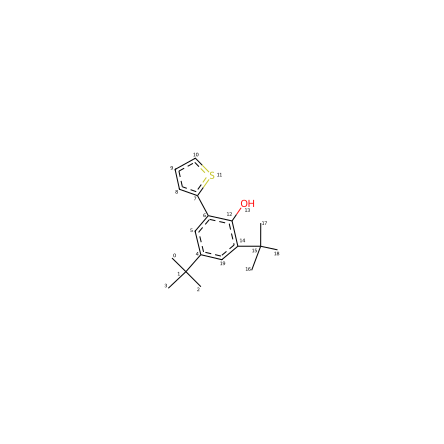 CC(C)(C)c1cc(-c2cccs2)c(O)c(C(C)(C)C)c1